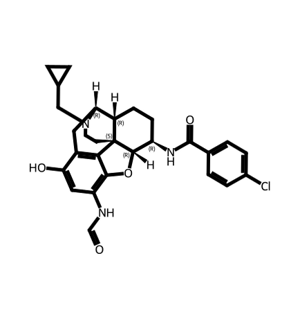 O=CNc1cc(O)c2c3c1O[C@H]1[C@H](NC(=O)c4ccc(Cl)cc4)CC[C@H]4[C@@H](C2)N(CC2CC2)CC[C@@]341